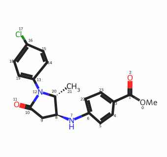 COC(=O)c1ccc(N[C@H]2CC(=O)N(c3ccc(Cl)cc3)[C@@H]2C)cc1